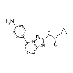 Nc1ccc(-c2cccc3nc(NC(=O)C4CC4)nn23)cc1